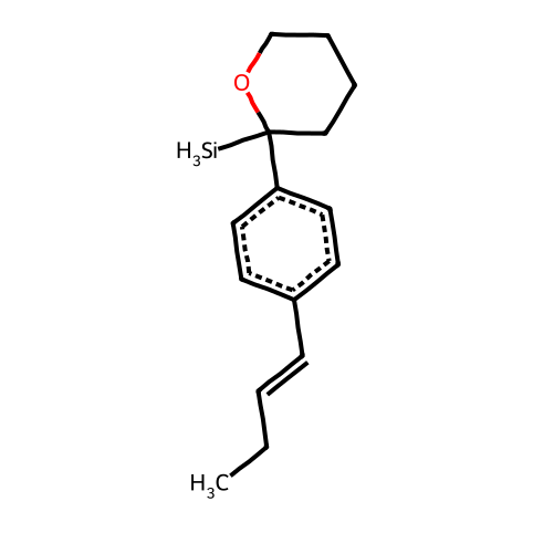 CCC=Cc1ccc(C2([SiH3])CCCCO2)cc1